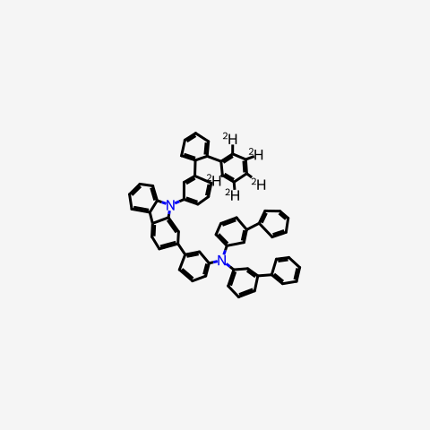 [2H]c1c([2H])c([2H])c(-c2ccccc2-c2cccc(-n3c4ccccc4c4ccc(-c5cccc(N(c6cccc(-c7ccccc7)c6)c6cccc(-c7ccccc7)c6)c5)cc43)c2)c([2H])c1[2H]